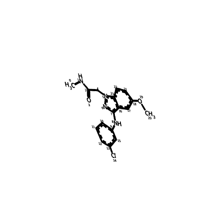 CNC(=O)Cn1nc(Nc2cccc(Cl)c2)c2cc(OC)ccc21